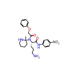 CC1(N(C(=O)COc2ccccc2)[C@@H](CCCN)C(=O)Nc2ccc([N+](=O)[O-])cc2)CCCCN1